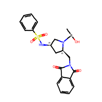 CB(O)N1C[C@H](NS(=O)(=O)c2ccccc2)C[C@@H]1CN1C(=O)c2ccccc2C1=O